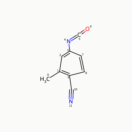 Cc1cc(N=C=O)ccc1C#N